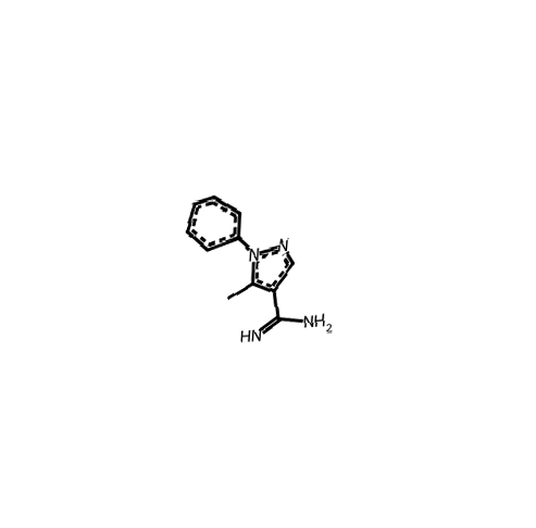 Cc1c(C(=N)N)cnn1-c1ccccc1